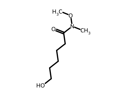 CON(C)C(=O)CCCCCO